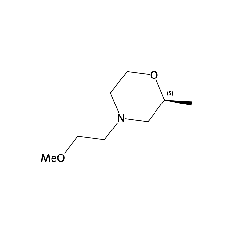 COCCN1CCO[C@@H](C)C1